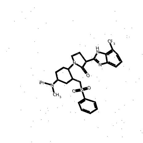 CC(C)N(C)C1CCC(N2CCC(c3nc4cccc(C(F)(F)F)c4[nH]3)C2=O)C(CS(=O)(=O)c2ccccc2)C1